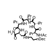 CCCCCCCCCCCCNC(=O)C[C@H](NC(=O)[C@@H](NC(=O)[C@@H](NC(=O)[C@@H](NC(=O)[C@@H](NC(C)=O)C(C)C)C(C)C)C(C)C)C(C)C)C(N)=O